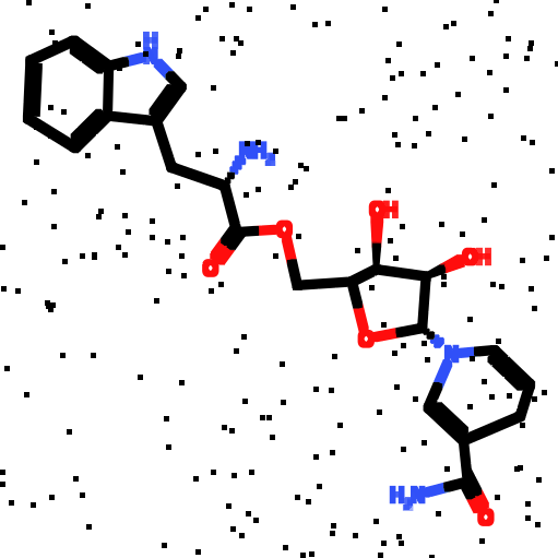 NC(=O)C1=CN([C@@H]2OC(COC(=O)[C@@H](N)Cc3c[nH]c4ccccc34)[C@@H](O)[C@H]2O)C=CC1